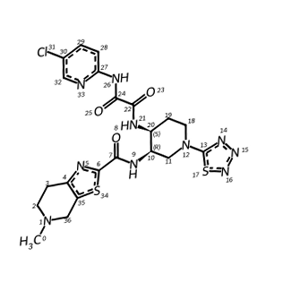 CN1CCc2nc(C(=O)N[C@@H]3CN(c4nnns4)CC[C@@H]3NC(=O)C(=O)Nc3ccc(Cl)cn3)sc2C1